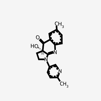 Cc1ccc2c(c1)C(=O)[C@]1(O)CCN(c3ccc(C)nc3)C1=N2